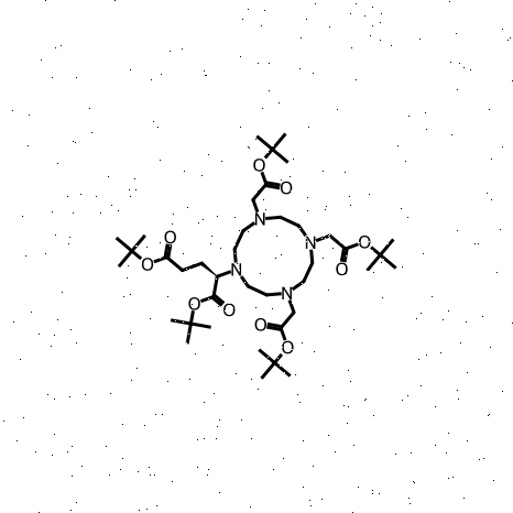 CC(C)(C)OC(=O)CC[C@H](C(=O)OC(C)(C)C)N1CCN(CC(=O)OC(C)(C)C)CCN(CC(=O)OC(C)(C)C)CCN(CC(=O)OC(C)(C)C)CC1